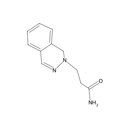 NC(=O)CCN1Cc2ccccc2C=N1